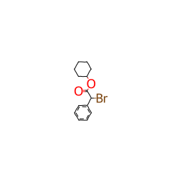 O=C(OC1CCCCC1)C(Br)c1ccccc1